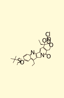 CCc1c2c(nc3ccc(O[Si](C)(C)C(C)(C)C)cc13)-c1cc3c(c(=O)n1C2)COC(=O)[C@@]3(CC)OC(=O)Cl